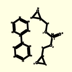 O=[PH](OCC1CO1)OCC1CO1.c1ccc(-c2ccccc2)cc1